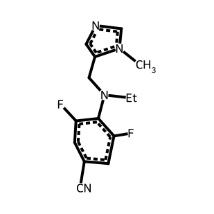 [CH2]CN(Cc1cncn1C)c1c(F)cc(C#N)cc1F